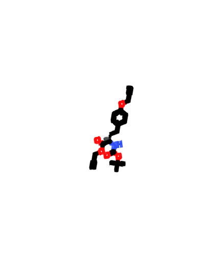 C#CCOC(=O)[C@H](CCc1ccc(OCC#C)cc1)NC(=O)OC(C)(C)C